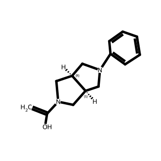 C=C(O)N1C[C@@H]2CN(c3ccccc3)C[C@@H]2C1